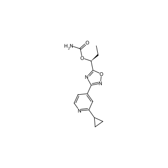 CC[C@H](OC(N)=O)c1nc(-c2ccnc(C3CC3)c2)no1